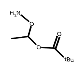 CC(ON)OC(=O)C(C)(C)C